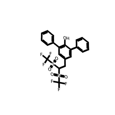 O=S(=O)(C(Cc1cc(-c2ccccc2)c(O)c(-c2ccccc2)c1)S(=O)(=O)C(F)(F)F)C(F)(F)F